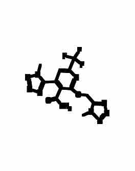 Cn1nnnc1COc1nc(C(F)(F)F)cc(-c2nnnn2C)c1C(N)=O